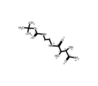 CC(C)(C)OC(=O)NCCNC(=O)C(O)C(O)C(N)=O